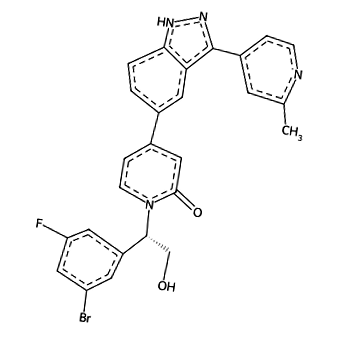 Cc1cc(-c2n[nH]c3ccc(-c4ccn([C@H](CO)c5cc(F)cc(Br)c5)c(=O)c4)cc23)ccn1